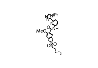 COc1cc2c(cc1C(=O)Nc1cccc(-c3nncn3C(C)C)n1)CN(S(=O)(=O)CCC(F)(F)F)C2